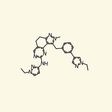 CCn1cc(-c2cccc(Cc3c4c(nn3C)CCc3cnc(Nc5ccn(CC)n5)nc3-4)c2)cn1